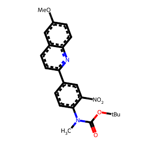 COc1ccc2nc(-c3ccc(N(C)C(=O)OC(C)(C)C)c([N+](=O)[O-])c3)ccc2c1